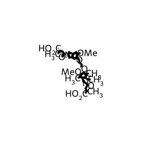 COc1cc2c(cc1OCCCOc1c(C)c3c(c(C)c1OC)CN(C(=O)CC(C)C(=O)O)C3C)CN(C(=O)C[C@H](C)C(=O)O)C2